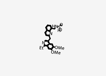 CCc1ncc(Cc2ccc3cccc(CN[SH](=O)=O)c3n2)c2cc(OC)c(OC)cc12